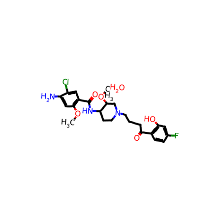 COc1cc(N)c(Cl)cc1C(=O)NC1CCN(CCCC(=O)c2ccc(F)cc2O)CC1OC.O